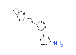 Nc1cccc(-c2cccc(/C=C/c3ccc4c(c3)CC4)c2)c1